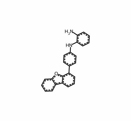 Nc1ccccc1Nc1ccc(-c2cccc3c2oc2ccccc23)cc1